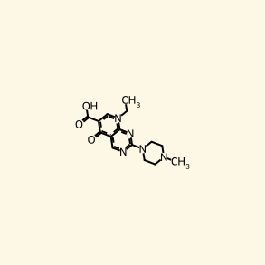 CCn1cc(C(=O)O)c(=O)c2cnc(N3CCN(C)CC3)nc21